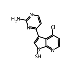 Nc1nccc(-c2cn(S)c3nccc(Cl)c23)n1